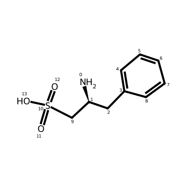 N[C@@H](Cc1ccccc1)CS(=O)(=O)O